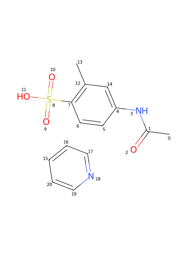 CC(=O)Nc1ccc(S(=O)(=O)O)c(C)c1.c1ccncc1